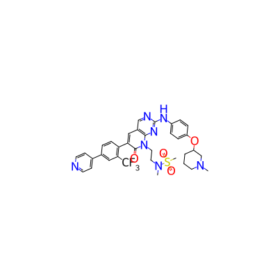 CN1CCCC(Oc2ccc(Nc3ncc4cc(-c5ccc(-c6ccncc6)cc5C(F)(F)F)c(=O)n(CCN(C)S(C)(=O)=O)c4n3)cc2)C1